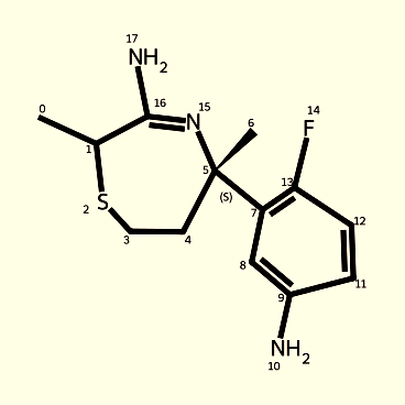 CC1SCC[C@@](C)(c2cc(N)ccc2F)N=C1N